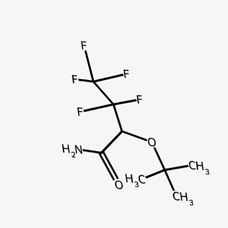 CC(C)(C)OC(C(N)=O)C(F)(F)C(F)(F)F